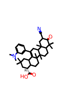 CN(C)c1cccc(C2=C3C4CC(C)(C)C[C@@H](C(=O)O)C4CCC3(C)C3(C)CCC4C(C)(C)C(=O)C(C#N)CC4(C)C3C2)c1